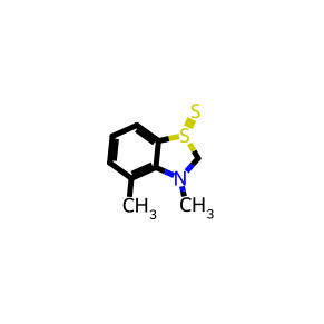 Cc1cccc2c1N(C)CS2=S